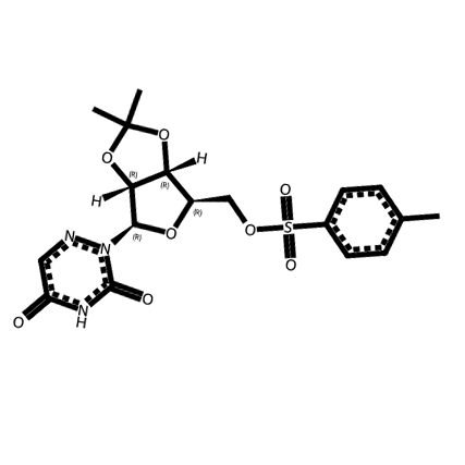 Cc1ccc(S(=O)(=O)OC[C@H]2O[C@@H](n3ncc(=O)[nH]c3=O)[C@@H]3OC(C)(C)O[C@@H]32)cc1